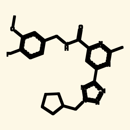 COc1cc(CNC(=O)c2cc(-c3nnn(CC4CCCC4)n3)nc(C)n2)ccc1F